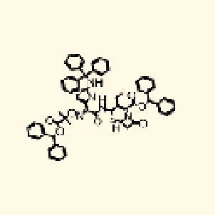 CC(C)(O/N=C(/C(=O)NC1S[C@@H]2CC(=O)N2C(C(=O)OC(c2ccccc2)c2ccccc2)=C1CI)c1csc(NC(c2ccccc2)(c2ccccc2)c2ccccc2)n1)C(=O)OC(c1ccccc1)c1ccccc1